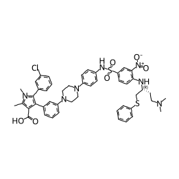 Cc1c(C(=O)O)c(-c2cccc(N3CCN(c4ccc(NS(=O)(=O)c5ccc(N[C@H](CCN(C)C)CSc6ccccc6)c([N+](=O)[O-])c5)cc4)CC3)c2)c(-c2cccc(Cl)c2)n1C